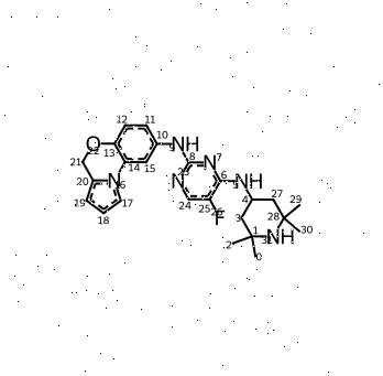 CC1(C)CC(Nc2nc(Nc3ccc4c(c3)-n3cccc3CO4)ncc2F)CC(C)(C)N1